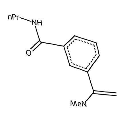 CCCNC(=O)c1cccc(C(=O)NC)c1